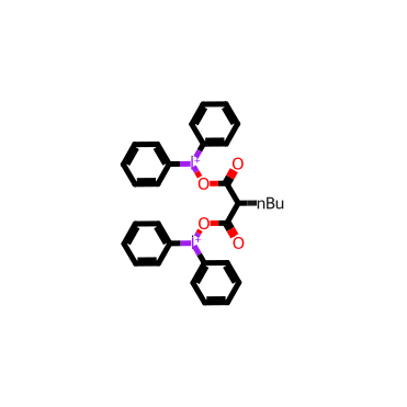 CCCCC(C(=O)O[I+](c1ccccc1)c1ccccc1)C(=O)O[I+](c1ccccc1)c1ccccc1